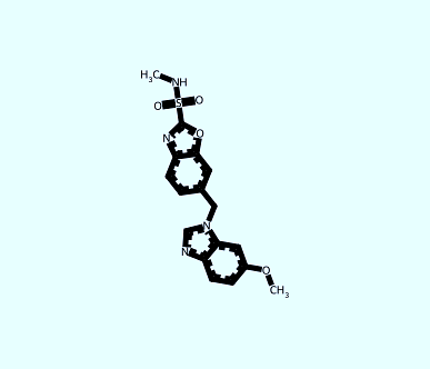 CNS(=O)(=O)c1nc2ccc(Cn3cnc4ccc(OC)cc43)cc2o1